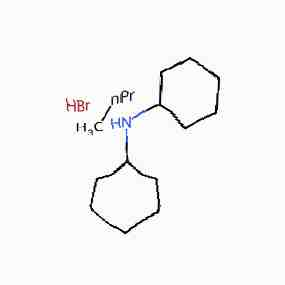 Br.C1CCC(NC2CCCCC2)CC1.CCCC